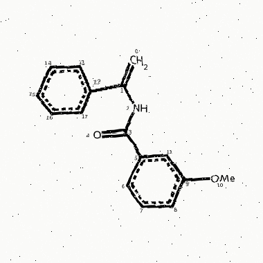 C=C(NC(=O)c1cccc(OC)c1)c1ccccc1